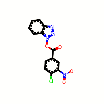 O=C(On1nnc2ccccc21)c1ccc(Cl)c([N+](=O)[O-])c1